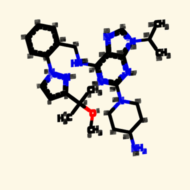 COC(C)(C)c1ccn(-c2ccccc2CNc2nc(N3CCC(N)CC3)nc3c2ncn3C(C)C)n1